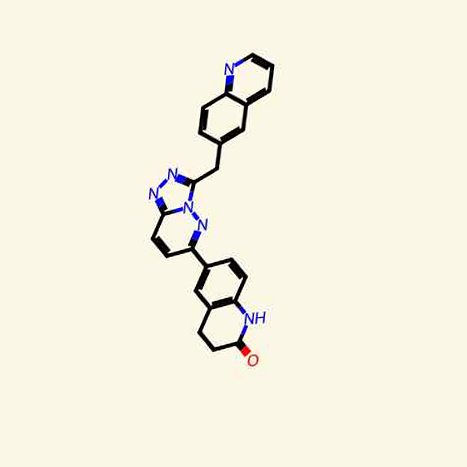 O=C1CCc2cc(-c3ccc4nnc(Cc5ccc6ncccc6c5)n4n3)ccc2N1